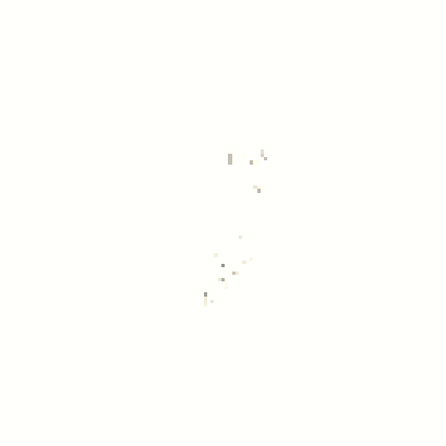 CS(=O)(=O)N(c1ccc(C(C(=O)NO)c2ccccc2)cc1)c1ccccc1[N+](=O)[O-]